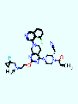 C=CC(=O)N1CCN(c2nc(OCCN(C)CC3(F)CC3)nc3c2CCN(c2cncc4cccc(Cl)c24)C3)C[C@@H]1CC#N